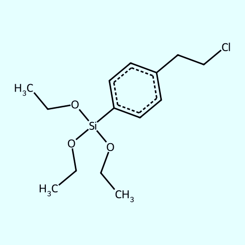 CCO[Si](OCC)(OCC)c1ccc(CCCl)cc1